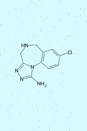 Nc1nnc2n1-c1ccc(Cl)cc1CNC2